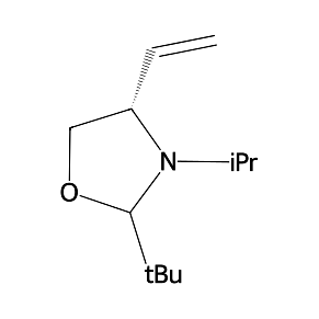 C=C[C@H]1COC(C(C)(C)C)N1C(C)C